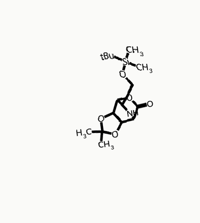 CC1(C)OC2C3NC(CO[Si](C)(C)C(C)(C)C)C(OC3=O)C2O1